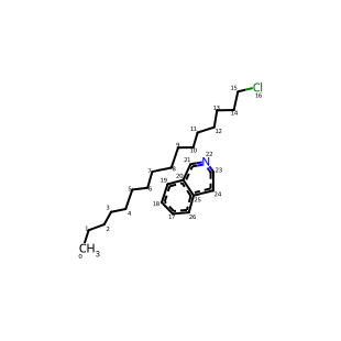 CCCCCCCCCCCCCCCCCl.c1ccc2cnccc2c1